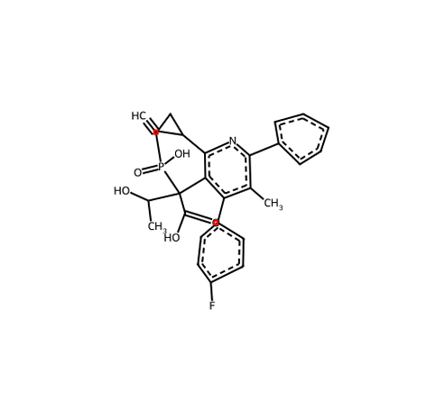 C#CP(=O)(O)C(C(=O)O)(c1c(C2CC2)nc(-c2ccccc2)c(C)c1-c1ccc(F)cc1)C(C)O